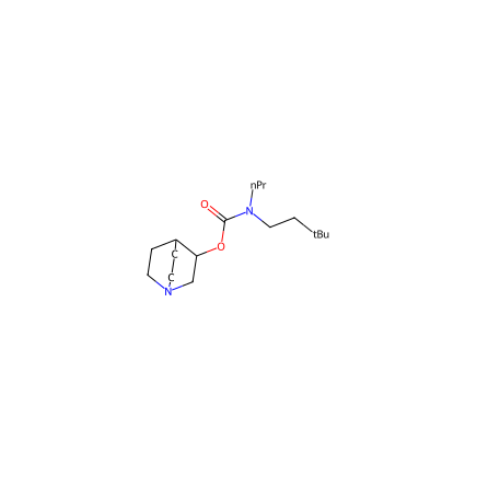 CCCN(CCC(C)(C)C)C(=O)OC1CN2CCC1CC2